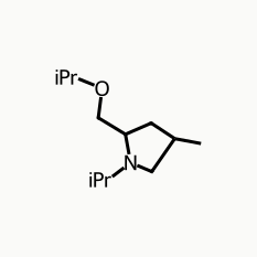 CC1CC(COC(C)C)N(C(C)C)C1